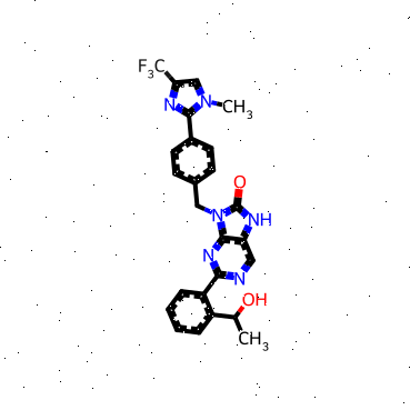 CC(O)c1ccccc1-c1ncc2[nH]c(=O)n(Cc3ccc(-c4nc(C(F)(F)F)cn4C)cc3)c2n1